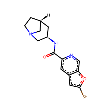 O=C(N[C@@H]1C[C@H]2CCN(C2)C1)c1cc2cc(S)oc2cn1